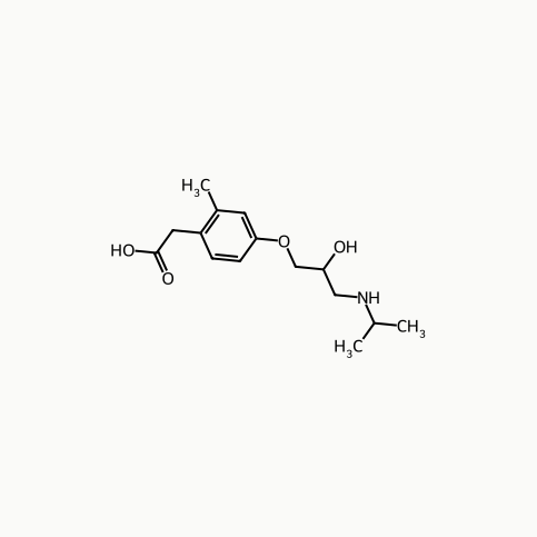 Cc1cc(OCC(O)CNC(C)C)ccc1CC(=O)O